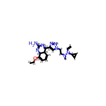 C=CN(C1CC1)N(C)CCn1cc(C2=NC(N)=NC3C(OCC)=CC=CC23)nn1